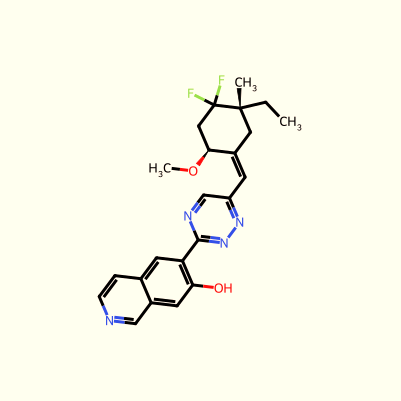 CC[C@]1(C)C/C(=C/c2cnc(-c3cc4ccncc4cc3O)nn2)[C@@H](OC)CC1(F)F